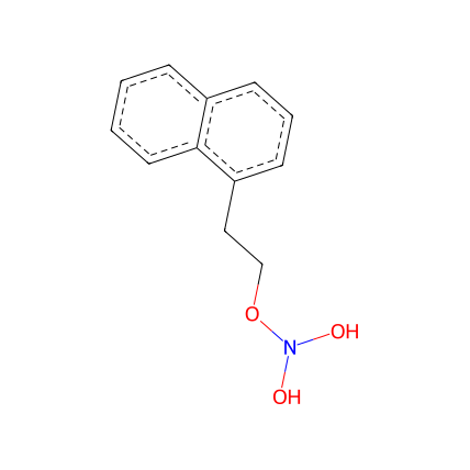 ON(O)OCCc1cccc2ccccc12